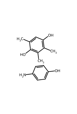 Cc1cc(O)c(C)c(C)c1O.Nc1ccc(O)cc1